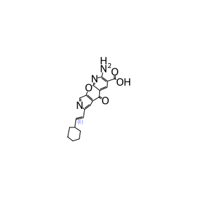 Nc1nc2oc3cnc(/C=C/C4CCCCC4)cc3c(=O)c2cc1C(=O)O